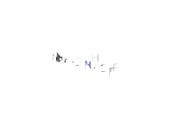 C/C(=N\OCc1ccc(C(F)(F)F)cc1)c1ccc(OCn2ccnn2)cc1